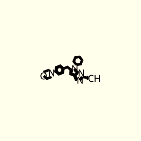 C#Cc1ncc2cc(Cc3ccc(N4CCOCC4)cc3)n(C3CCCCC3)c2n1